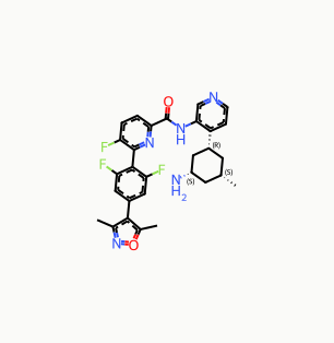 Cc1noc(C)c1-c1cc(F)c(-c2nc(C(=O)Nc3cnccc3[C@@H]3C[C@H](C)C[C@H](N)C3)ccc2F)c(F)c1